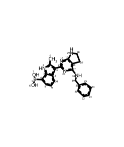 Cc1[nH]c2c(B(O)O)cccc2c1-c1nc2c(c(NCc3ccccc3)n1)CCN2